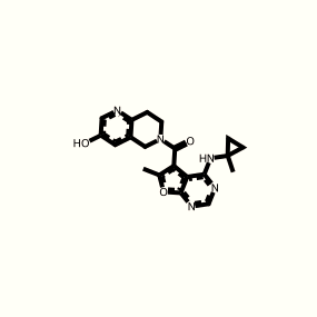 Cc1oc2ncnc(NC3(C)CC3)c2c1C(=O)N1CCc2ncc(O)cc2C1